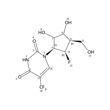 O=c1[nH]c(=O)n([C@H]2C(O)C(O)[C@@H](CO)[C@H]2F)cc1C(F)(F)F